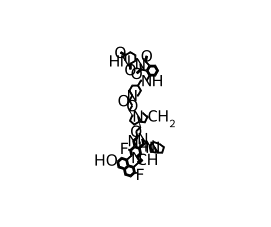 C#Cc1c(F)ccc2cc(O)cc(-c3ncc4c(N5CC6CCC(C5)N6)nc(OC[C@@]56CC[C@@H](COC(=O)N7CCC(CNc8cccc9c8C(=O)N(C8CCC(=O)NC8=O)C9=O)CC7)N5CC(=C)C6)nc4c3F)c12